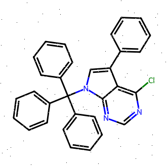 Clc1ncnc2c1c(-c1ccccc1)cn2C(c1ccccc1)(c1ccccc1)c1ccccc1